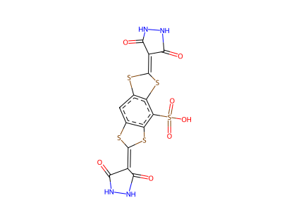 O=C1NNC(=O)C1=C1Sc2cc3c(c(S(=O)(=O)O)c2S1)SC(=C1C(=O)NNC1=O)S3